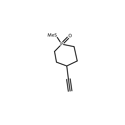 C#CC1CCP(=O)(SC)CC1